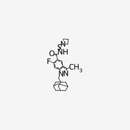 Cc1nn(CC23CC4CC(CC(C4)C2)C3)c2cc(F)c(C(=O)NSN3CCC3)cc12